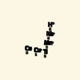 [Ce].[Cu].[H+].[Mn].[Nb].[Ti]